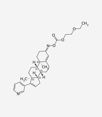 CCOCCOC(=O)ON=C1C=C2CC[C@H]3[C@H](CC[C@]4(C)C(c5cccnc5)=CC[C@@H]34)[C@@]2(C)CC1